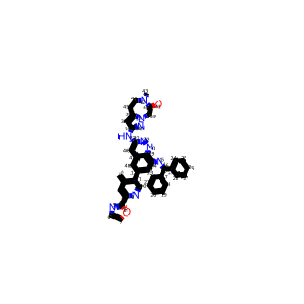 Cc1cc(-c2ncco2)ncc1-c1cc(N=C(c2ccccc2)c2ccccc2)c2nnc(Nc3cc4n(n3)CC(=O)N(C)CC4)cc2c1